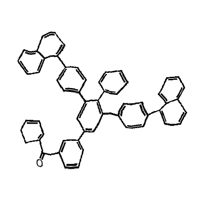 O=C(C1=CC=CCC1)c1cccc(-c2cc(-c3ccc(-c4cccc5ccccc45)cc3)c(-c3ccccc3)c(-c3ccc(-c4cccc5ccccc45)cc3)c2)c1